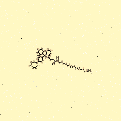 NCCCOCCOCCOCCCNC(=O)CCC(=O)OC(c1ccccc1)(c1ccc(C2CCCCCC2)cc1)c1ccccc1Cl